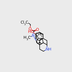 C[C@H]1CC23CCC(N(C)C(=O)OCC(Cl)(Cl)Cl)C1C21CCNC3Cc2ccc(O)cc21